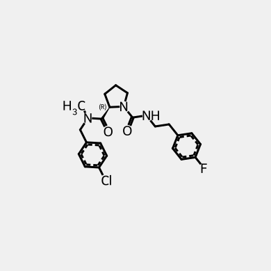 CN(Cc1ccc(Cl)cc1)C(=O)[C@H]1CCCN1C(=O)NCCc1ccc(F)cc1